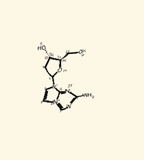 Nc1nc[n+]2ccn(C3C[C@H](O)[C@@H](CO)O3)c2n1